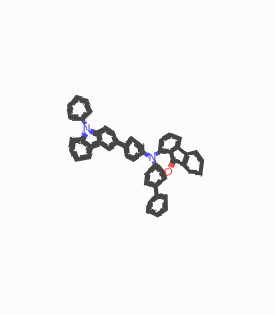 O=C1C2=C(C=CCC2)c2cccc(N(c3ccc(-c4ccccc4)cc3)c3ccc(-c4ccc5c(c4)c4ccccc4n5-c4ccccc4)cc3)c21